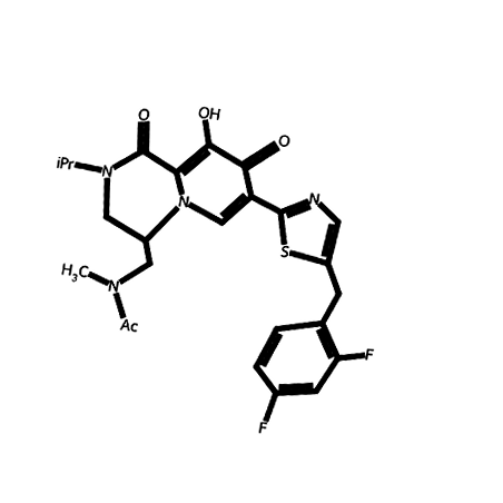 CC(=O)N(C)CC1CN(C(C)C)C(=O)c2c(O)c(=O)c(-c3ncc(Cc4ccc(F)cc4F)s3)cn21